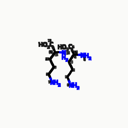 NCCC[C@H](N)C(=O)O.NCCC[C@H](N)C(=O)O